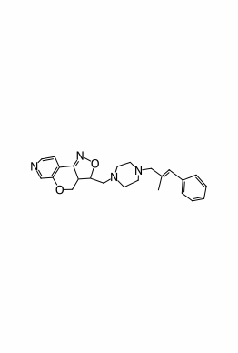 C/C(=C\c1ccccc1)CN1CCN(CC2ON=C3c4ccncc4OCC32)CC1